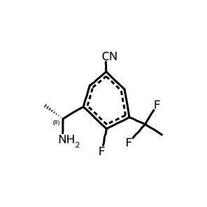 C[C@@H](N)c1cc(C#N)cc(C(C)(F)F)c1F